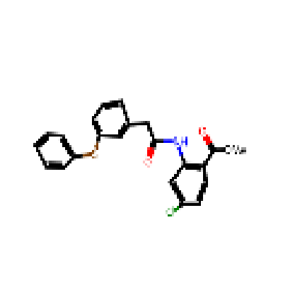 COC(=O)c1ccc(Cl)cc1NC(=O)Cc1cccc(Sc2ccccc2)c1